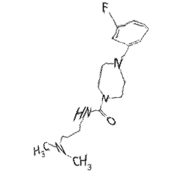 CN(C)CCNC(=O)N1CCN(c2cccc(F)c2)CC1